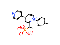 Cc1ccc(-[n+]2ccc(-c3ccncc3)cc2C(C)P(=O)(O)O)cc1